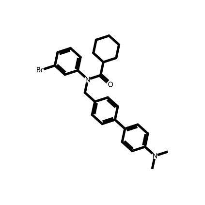 CN(C)c1ccc(-c2ccc(CN(C(=O)C3CCCCC3)c3cccc(Br)c3)cc2)cc1